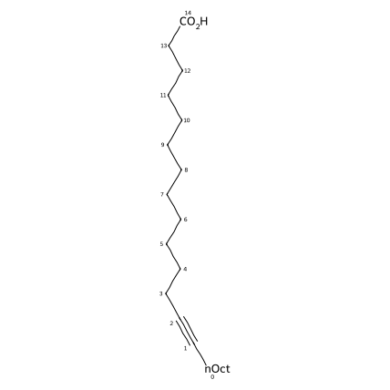 CCCCCCCCC#CCCCCCCCCCCCC(=O)O